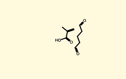 C=C(C)C(=O)O.O=CCCCC=O